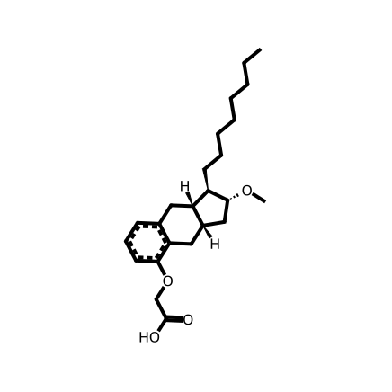 CCCCCCCC[C@@H]1[C@H]2Cc3cccc(OCC(=O)O)c3C[C@H]2C[C@H]1OC